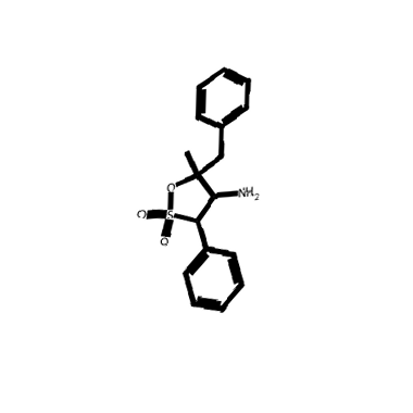 CC1(Cc2ccccc2)OS(=O)(=O)C(c2ccccc2)C1N